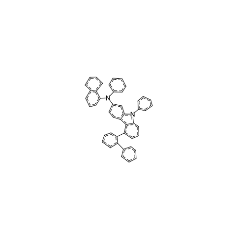 c1ccc(-c2ccccc2-c2cccc3c2c2ccc(N(c4ccccc4)c4cccc5ccccc45)cc2n3-c2ccccc2)cc1